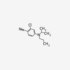 CCCN(c1ccc(C#N)c(Cl)c1)C(C)C